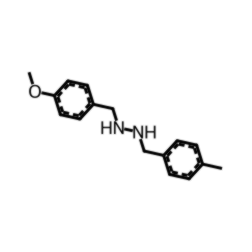 COc1ccc(CNNCc2ccc(C)cc2)cc1